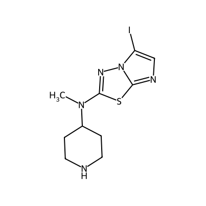 CN(c1nn2c(I)cnc2s1)C1CCNCC1